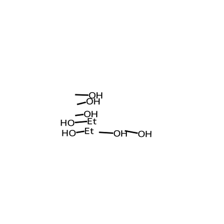 CCO.CCO.CO.CO.CO.CO.CO